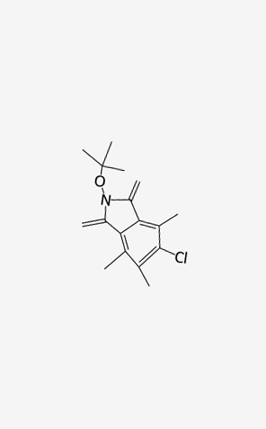 C=c1c2c(C)c(C)c(Cl)c(C)c2c(=C)n1OC(C)(C)C